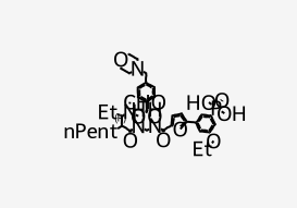 CCCCCC(C(=O)NCNC(=O)c1ccc(-c2cc(OCC)cc(P(=O)(O)O)c2)o1)[C@@H](CC)N(C=O)OC(=O)c1ccc(CN2CCOCC2)cc1